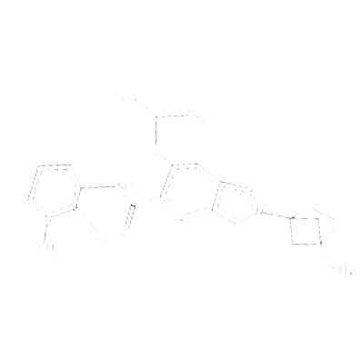 CC(C)Oc1cc2nn(C34COC(C)(C3)C4)cc2cc1C(=O)Nc1cccn(C)c1=O